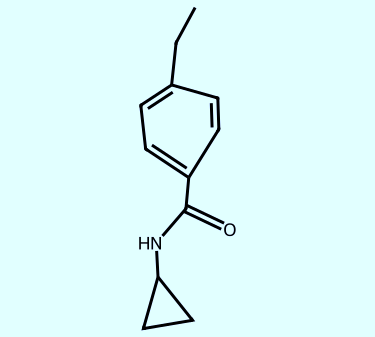 CCc1ccc(C(=O)NC2CC2)cc1